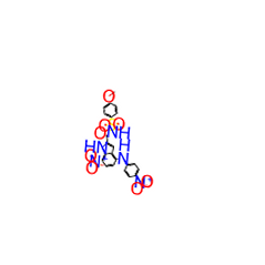 COc1ccc(S(=O)(=O)NC(=O)c2cc3c(Nc4ccc([N+](=O)[O-])cc4)ccc([N+](=O)[O-])c3[nH]2)cc1